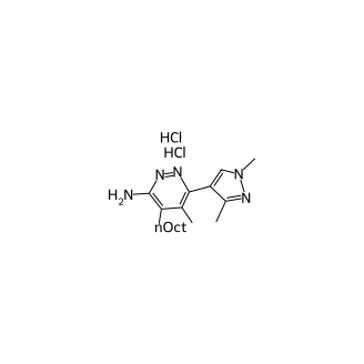 CCCCCCCCc1c(N)nnc(-c2cn(C)nc2C)c1C.Cl.Cl